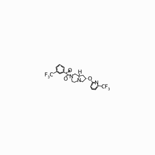 O=S(=O)(c1cccc(C(F)(F)F)c1)N1CCN2C[C@@H](Oc3cccc(C(F)(F)F)n3)C[C@H]2C1